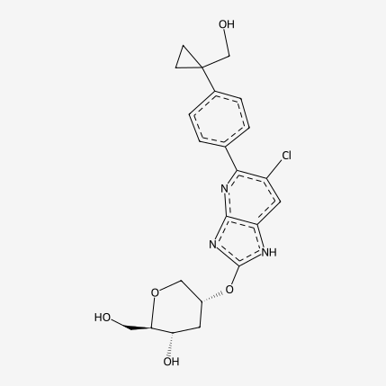 OC[C@H]1OC[C@H](Oc2nc3nc(-c4ccc(C5(CO)CC5)cc4)c(Cl)cc3[nH]2)C[C@@H]1O